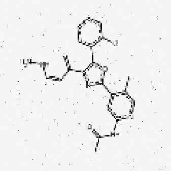 C=C(/C=C\NN)c1nc(-c2cc(NC(C)=O)ncc2C)oc1-c1ccccc1Cl